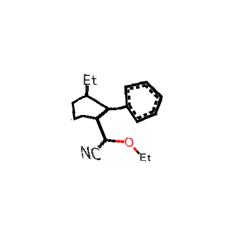 [CH2]CC1C[CH]C(C(C#N)OCC)C1c1ccccc1